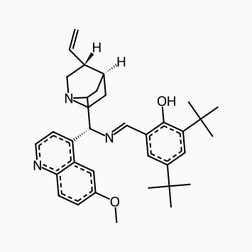 C=C[C@H]1CN2CC[C@H]1CC2[C@H](/N=C/c1cc(C(C)(C)C)cc(C(C)(C)C)c1O)c1ccnc2ccc(OC)cc12